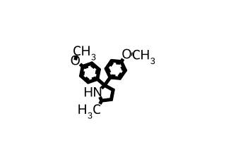 COc1ccc(C2(c3ccc(OC)cc3)CCC(C)N2)cc1